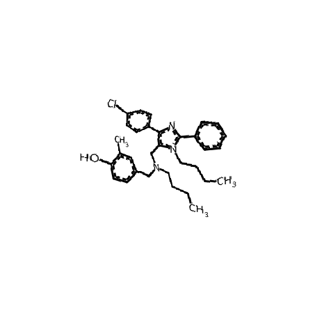 CCCCN(Cc1ccc(O)c(C)c1)Cc1c(-c2ccc(Cl)cc2)nc(-c2ccccc2)n1CCCC